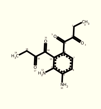 CCC(=O)C(=O)c1ccc(N)c(N)c1C(=O)C(=O)CC